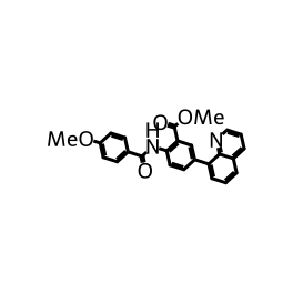 COC(=O)c1cc(-c2cccc3cccnc23)ccc1NC(=O)c1ccc(OC)cc1